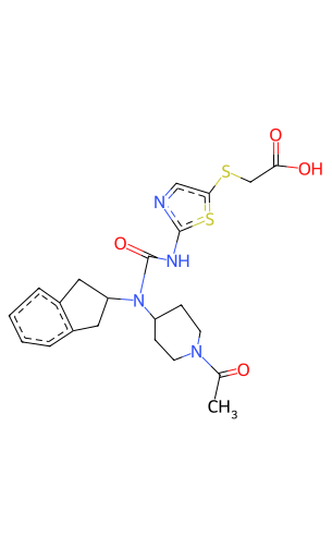 CC(=O)N1CCC(N(C(=O)Nc2ncc(SCC(=O)O)s2)C2Cc3ccccc3C2)CC1